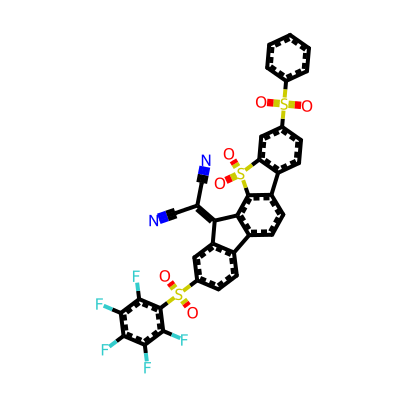 N#CC(C#N)=C1c2cc(S(=O)(=O)c3c(F)c(F)c(F)c(F)c3F)ccc2-c2ccc3c(c21)S(=O)(=O)c1cc(S(=O)(=O)c2ccccc2)ccc1-3